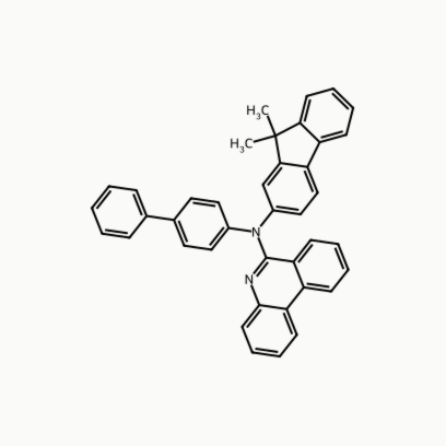 CC1(C)c2ccccc2-c2ccc(N(c3ccc(-c4ccccc4)cc3)c3nc4ccccc4c4ccccc34)cc21